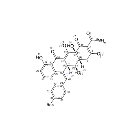 NC(=O)C1=C(O)C[C@@H]2[C@@H](O)[C@H]3C(=C(O)[C@]2(O)C1=O)C(=O)c1c(O)cccc1/C3=C\c1ccc(Br)cc1